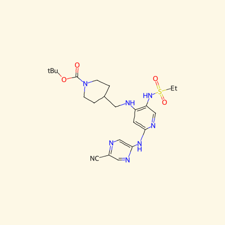 CCS(=O)(=O)Nc1cnc(Nc2cnc(C#N)cn2)cc1NCC1CCN(C(=O)OC(C)(C)C)CC1